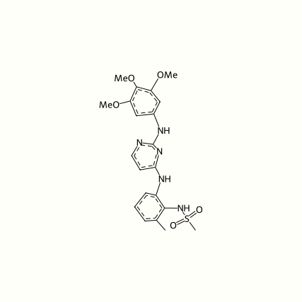 COc1cc(Nc2nccc(Nc3cccc(C)c3NS(C)(=O)=O)n2)cc(OC)c1OC